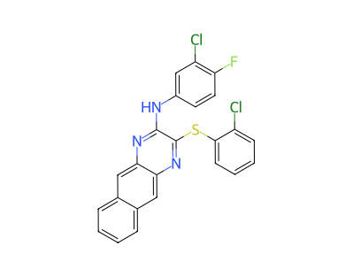 Fc1ccc(Nc2nc3cc4ccccc4cc3nc2Sc2ccccc2Cl)cc1Cl